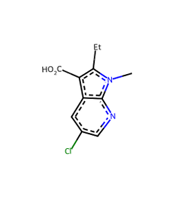 CCc1c(C(=O)O)c2cc(Cl)cnc2n1C